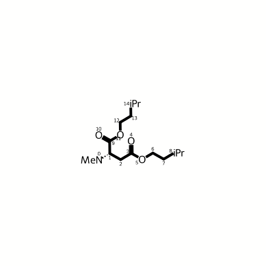 CN[C@@H](CC(=O)OCCC(C)C)C(=O)OCCC(C)C